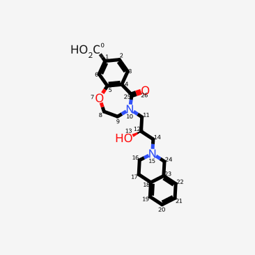 O=C(O)c1ccc2c(c1)OCCN(C[C@H](O)CN1CCc3ccccc3C1)C2=O